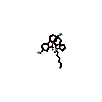 C=CCCC[CH2][Hf](=[CH2])([c]1ccccc1)([CH]1C=CC=C1)[CH]1c2cc(C(C)(C)C)ccc2-c2ccc(C(C)(C)C)cc21